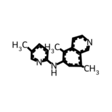 Cc1ccc(Nc2cc(C)c3cnccc3c2C)nc1